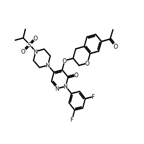 CC(=O)c1ccc2c(c1)OCC(Oc1c(N3CCN(S(=O)(=O)C(C)C)CC3)cnn(-c3cc(F)cc(F)c3)c1=O)C2